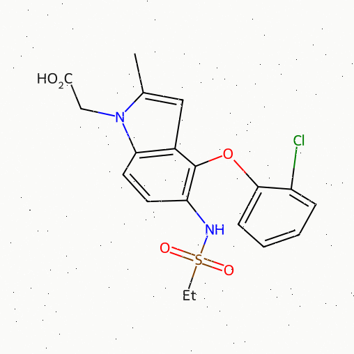 CCS(=O)(=O)Nc1ccc2c(cc(C)n2CC(=O)O)c1Oc1ccccc1Cl